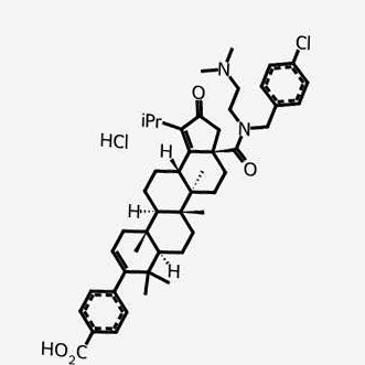 CC(C)C1=C2[C@H]3CC[C@@H]4[C@@]5(C)CC=C(c6ccc(C(=O)O)cc6)C(C)(C)[C@@H]5CC[C@@]4(C)[C@]3(C)CC[C@@]2(C(=O)N(CCN(C)C)Cc2ccc(Cl)cc2)CC1=O.Cl